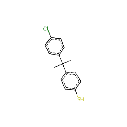 CC(C)(c1ccc(S)cc1)c1ccc(Cl)cc1